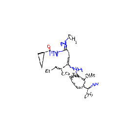 CC/C=C(C(=O)OCC)/C(=C\C(=N/C)NC(=O)C1CC1)Nc1cccc(C(C)=N)c1OC